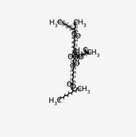 CCCCCCCC(CCC)COC(=O)CCCCCCCOC(=O)CC(OC(=O)OCCN(C)C)C(=O)OCCCCCCCC(=O)OCC(CCC)CCCCCCC